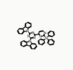 c1ccc([Si](c2ccccc2)(c2ccccc2)c2nccc(-c3nc(-n4c5ccccc5c5ccccc54)nc(-n4c5ccccc5c5ccccc54)n3)n2)cc1